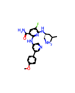 COc1ccc(-c2cncc(Nc3nc(N[C@@H](CN)CC(C)C)c(F)cc3C(N)=O)c2)cc1